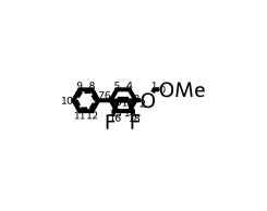 COCOC12CCC(c3ccccc3)(CC1)C(F)=C2F